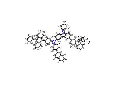 CC1(C)c2ccccc2-c2ccc(-c3ccc4c(c3)c3cc(N(c5ccc(-c6ccc7ccccc7c6)cc5)c5ccc(-c6c7ccccc7c(-c7ccccc7)c7ccccc67)cc5)ccc3n4-c3ccccc3)cc21